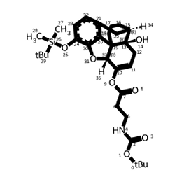 CC(C)(C)OC(=O)NCCC(=O)OC1=CC[C@@]2(O)[C@@H]3CCCC24c2c(ccc(O[Si](C)(C)C(C)(C)C)c2O[C@@H]14)C3